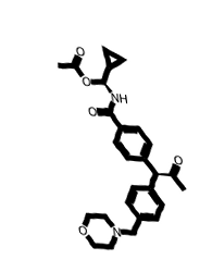 CC(=O)O[C@H](NC(=O)c1ccc([C@@H](C(C)=O)c2ccc(CN3CCOCC3)cc2)cc1)C1CC1